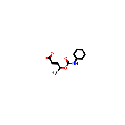 CC(/C=C/C(=O)O)OC(=O)NC1CCCCC1